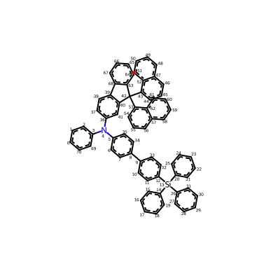 c1ccc(N(c2ccc(-c3ccc([Si](c4ccccc4)(c4ccccc4)c4ccccc4)cc3)cc2)c2ccc3c(c2)C(c2cccc4ccccc24)(c2cccc4ccccc24)c2ccccc2-3)cc1